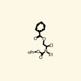 CCCOC(=O)N(CC)C(Cl)COC(=O)c1ccccc1